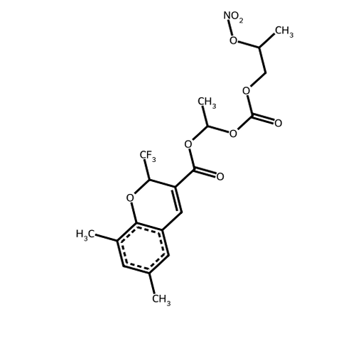 Cc1cc(C)c2c(c1)C=C(C(=O)OC(C)OC(=O)OCC(C)O[N+](=O)[O-])C(C(F)(F)F)O2